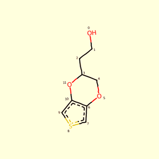 OCCC1COc2cscc2O1